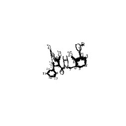 COc1cccc(CNC(=O)c2c(-c3ccccc3)cn(C)c2C)c1C